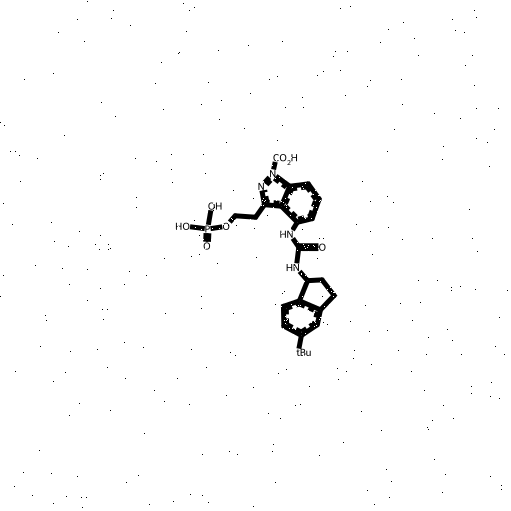 CC(C)(C)c1ccc2c(c1)CCC2NC(=O)Nc1cccc2c1c(CCOP(=O)(O)O)nn2C(=O)O